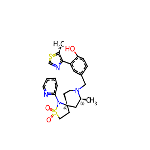 Cc1scnc1-c1cc(CN2CC[C@]3(CCS(=O)(=O)N3c3ccccn3)C[C@@H]2C)ccc1O